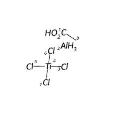 CC(=O)O.[AlH3].[Cl][Ti]([Cl])([Cl])[Cl]